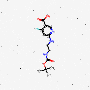 CC(C)(C)OC(=O)NCCNc1cc(F)c(C(=O)O)cn1